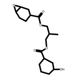 CC(COC(=O)C1CCCC(O)C1)COC(=O)C1CCC2OC2C1